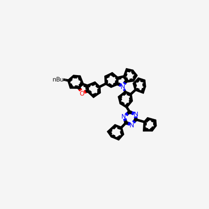 CCCCc1ccc2c(c1)oc1ccc(-c3ccc4c5ccccc5n(-c5ccc(-c6nc(-c7ccccc7)nc(-c7ccccc7)n6)cc5-c5ccccc5)c4c3)cc12